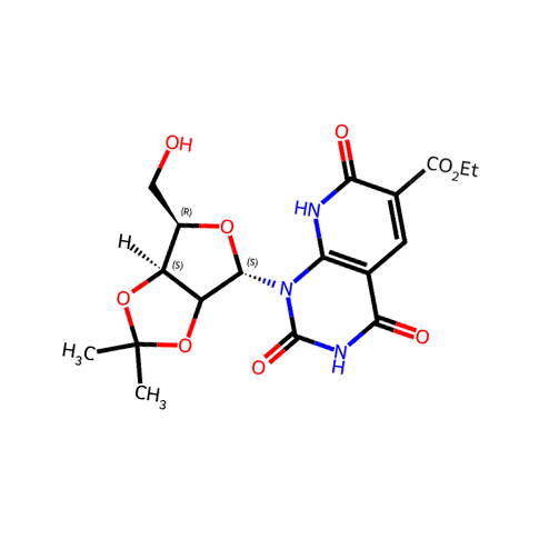 CCOC(=O)c1cc2c(=O)[nH]c(=O)n([C@H]3O[C@H](CO)[C@@H]4OC(C)(C)OC43)c2[nH]c1=O